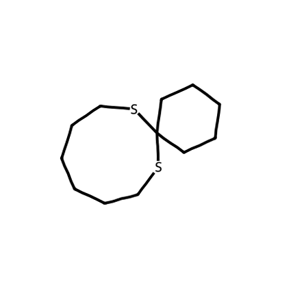 C1CCCSC2(CCCCC2)SCC1